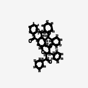 O=C(c1ccccc1)c1cc2oc(C(=O)c3ccccc3)c(-c3ccccc3)c(=O)c2c(C(=O)c2ccccc2)c1C(=O)c1ccccc1